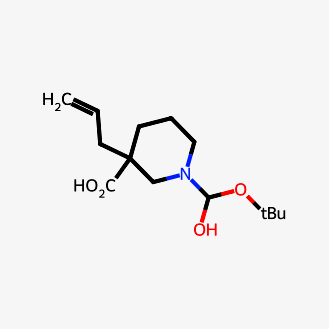 C=CCC1(C(=O)O)CCCN(C(O)OC(C)(C)C)C1